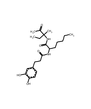 CCCCCC(NC(=O)CCc1ccc(O)c(O)c1)C(=O)NC(C)(CC)C(C)=O